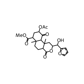 COC(=O)C1CC(OC(C)=O)C(=O)C2C1(C)CCC1C(=O)OC(C(O)c3ccco3)CC12C